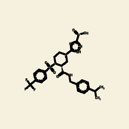 CC(C)c1ccc(CNC(=O)[C@H]2CN(c3nc([N+](=O)O)n[nH]3)CCN2S(=O)(=O)c2ccc(C(F)(F)F)cc2)cc1